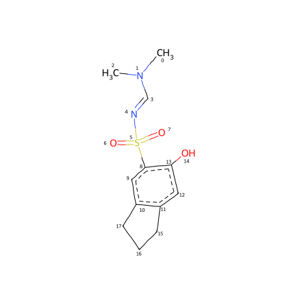 CN(C)/C=N/S(=O)(=O)c1cc2c(cc1O)CCC2